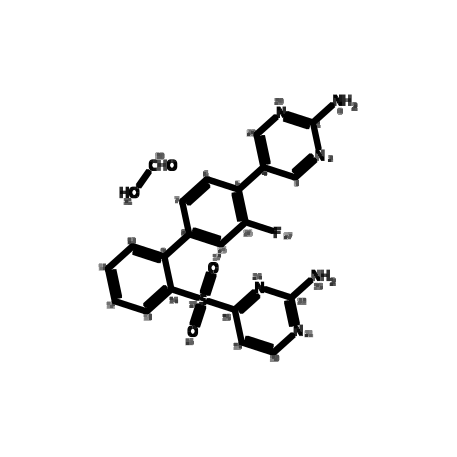 Nc1ncc(-c2ccc(-c3ccccc3S(=O)(=O)c3ccnc(N)n3)cc2F)cn1.O=CO